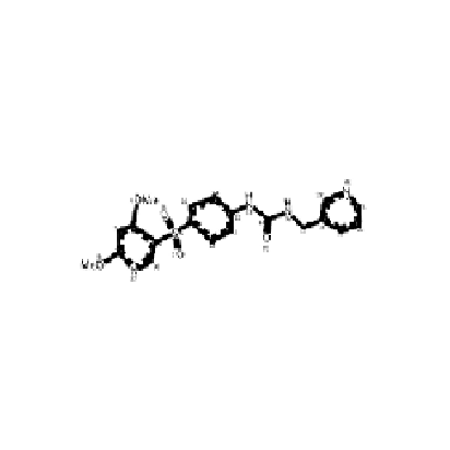 COc1cc(OC)c(S(=O)(=O)c2ccc(NC(=O)NCc3cccnc3)cc2)cn1